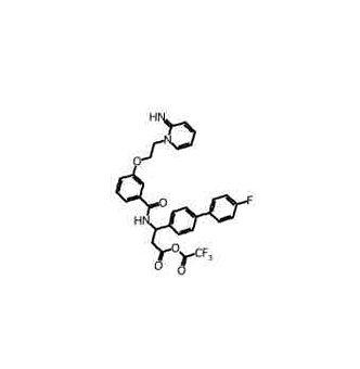 N=c1ccccn1CCOc1cccc(C(=O)NC(CC(=O)OC(=O)C(F)(F)F)c2ccc(-c3ccc(F)cc3)cc2)c1